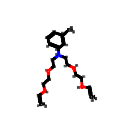 C=COCCOCCN(CCOCCOC=C)c1cccc(C)c1